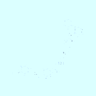 O=C(Nc1ccccc1-c1ccccc1)OC1CCN(CCNCC(=O)c2ccc(CNCc3cccc(O)c3)cc2)CC1